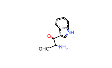 NC([C]=O)C(=O)c1c[nH]c2ccccc12